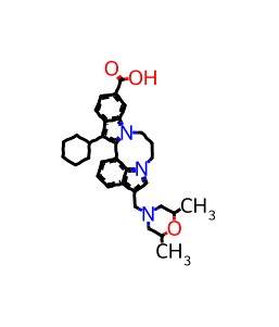 CC1CN(Cc2cn3c4c(cccc24)-c2c(C4CCCCC4)c4ccc(C(=O)O)cc4n2CCC3)CC(C)O1